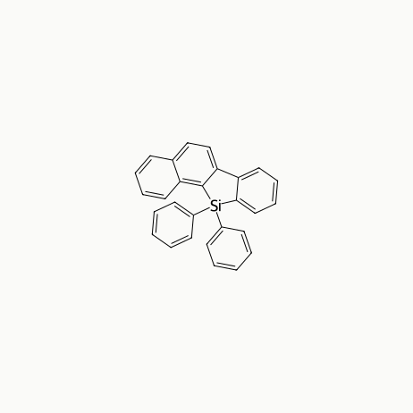 c1ccc([Si]2(c3ccccc3)c3ccccc3-c3ccc4ccccc4c32)cc1